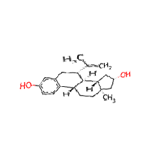 C=C(C)[C@H]1Cc2cc(O)ccc2[C@H]2CC[C@]3(C)C[C@@H](O)C[C@H]3[C@H]12